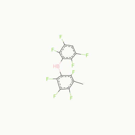 Cc1c(F)c(F)c(F)c(Bc2c(F)c(F)cc(F)c2F)c1F